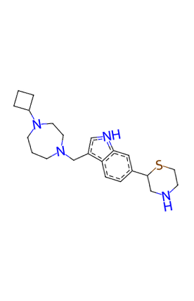 c1cc2c(CN3CCCN(C4CCC4)CC3)c[nH]c2cc1C1CNCCS1